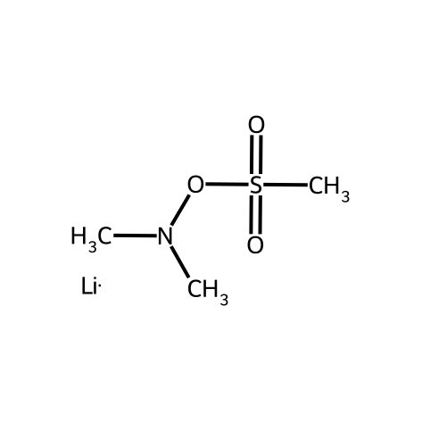 CN(C)OS(C)(=O)=O.[Li]